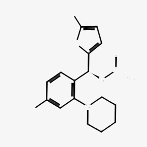 Cc1ccc([C@H](N[S@+]([O-])C(C)(C)C)c2ccc(C)o2)c(N2CCCCC2)c1